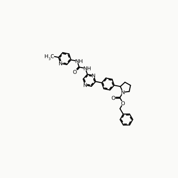 Cc1ccc(NC(=O)Nc2cncc(-c3ccc(C4CCCN4C(=O)OCc4ccccc4)cc3)n2)cn1